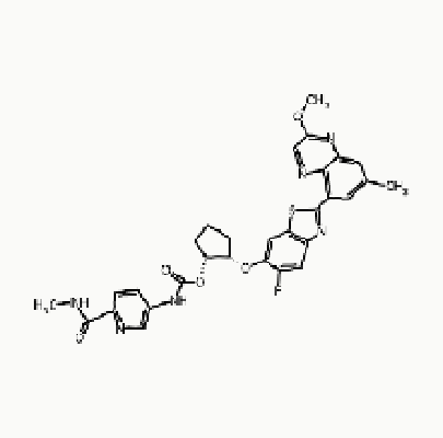 CNC(=O)c1ccc(NC(=O)O[C@@H]2CCC[C@@H]2Oc2cc3sc(-c4cc(C)cc5nc(OC)cnc45)nc3cc2F)cn1